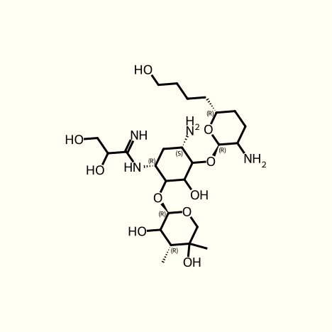 C[C@@H]1C(O)[C@@H](OC2C(O)C(O[C@H]3O[C@H](CCCCO)CCC3N)[C@@H](N)C[C@H]2NC(=N)C(O)CO)OCC1(C)O